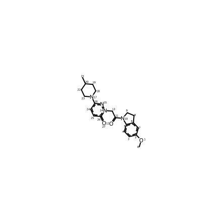 COc1ccc2c(c1)CCN2C(=O)Cn1nc(N2CCC(C)CC2)ccc1=O